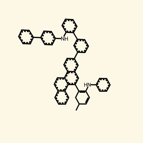 CC1C=CC(Nc2ccccc2)=C(c2cc3cc(-c4cccc(-c5ccccc5Nc5ccc(-c6ccccc6)cc5)c4)ccc3c3ccc4ccccc4c23)C1